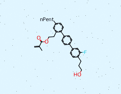 C=C(C)C(=O)OCCc1cc(CCCCC)ccc1-c1ccc(-c2ccc(CCCO)c(F)c2)cc1